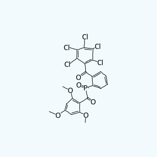 COc1cc(OC)c(C(=O)[P](=O)c2ccccc2C(=O)c2c(Cl)c(Cl)c(Cl)c(Cl)c2Cl)c(OC)c1